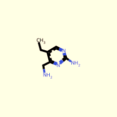 CCc1cnc(N)nc1CN